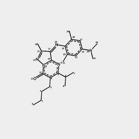 CCCCc1c(C(C)C)nc2n(c1=O)N=C(C)C2=Nc1c(C)cc(N(C)C)cc1C